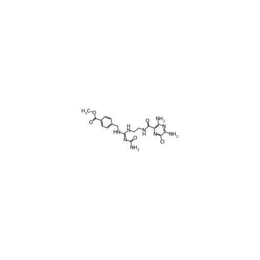 COC(=O)c1ccc(CN/C(=N/C(N)=O)NCCNC(=O)c2nc(Cl)c(N)nc2N)cc1